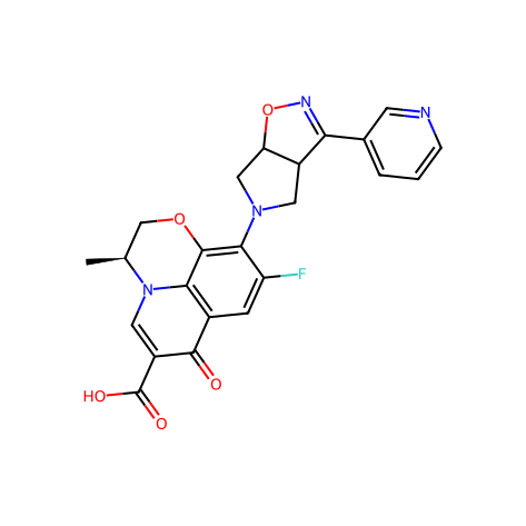 C[C@H]1COc2c(N3CC4ON=C(c5cccnc5)C4C3)c(F)cc3c(=O)c(C(=O)O)cn1c23